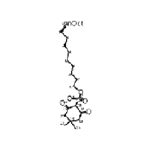 CCCCCCCC/C=C\CCCCCCCCOS(=O)(=O)C1C(=O)CC(C)(C)CC1=O